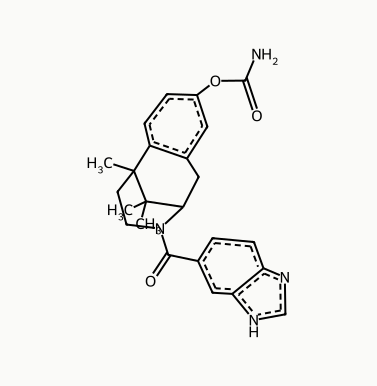 CC12CCN(C(=O)c3ccc4nc[nH]c4c3)C(Cc3cc(OC(N)=O)ccc31)C2(C)C